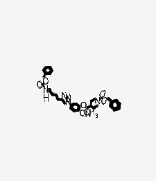 CC(Oc1cc(-n2cc(CCCCNC(=O)OCc3ccccc3)nn2)ccc1C#N)C1CCN(C(=O)OCc2ccccc2)CC1